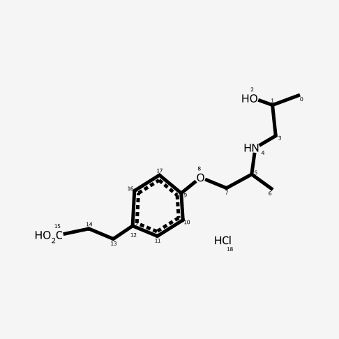 CC(O)CNC(C)COc1ccc(CCC(=O)O)cc1.Cl